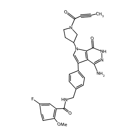 CC#CC(=O)N1CCC(n2cc(-c3ccc(CNC(=O)c4cc(F)ccc4OC)cc3)c3c(N)n[nH]c(=O)c32)C1